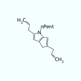 C=CCC1=Cc2c(cc(CC=C)n2CCCCC)C1